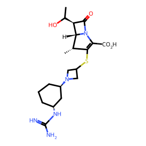 CC(O)[C@H]1C(=O)N2C(C(=O)O)=C(SC3CN([C@@H]4CCC[C@@H](NC(=N)N)C4)C3)[C@H](C)[C@H]12